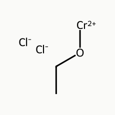 CC[O][Cr+2].[Cl-].[Cl-]